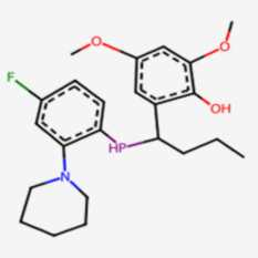 CCCC(Pc1ccc(F)cc1N1CCCCC1)c1cc(OC)cc(OC)c1O